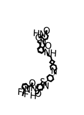 C=C1c2cccc(NCCC3CC4(CCN(C[C@H]5CC[C@H](c6nc7cc(OC)c(NC(=O)c8cccc(C(C)(F)F)n8)cc7s6)CC5)CC4)C3)c2C(=O)N1C1CCC(=O)NC1=O